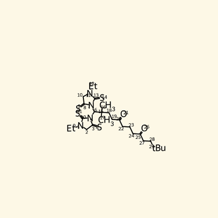 CCN1CC(=S)N(C(N2C(=S)CN(CC)C2=S)C(C)(C)CCC(=O)CCCC(=O)CCC(C)(C)C)C1=S